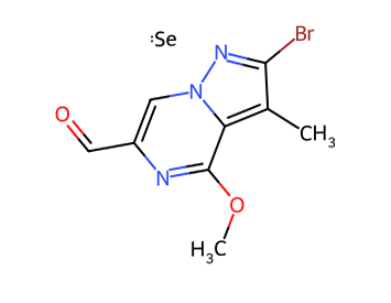 COc1nc(C=O)cn2nc(Br)c(C)c12.[Se]